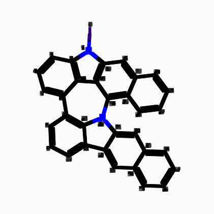 In1c2cccc3c4cccc5c6cc7ccccc7cc6n(c45)c4c5ccccc5cc1c4c32